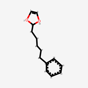 [C]1=COC(CCCCCc2ccccc2)O1